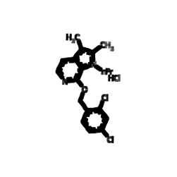 CCCn1c(C)c(C)c2ccnc(OCc3ccc(Cl)cc3Cl)c21.Cl